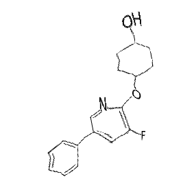 OC1CCC(Oc2ncc(-c3ccccc3)cc2F)CC1